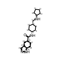 O=C(N[C@H]1CC[C@H](CNC2CCCC2)CC1)c1ccc2[nH]ncc2c1